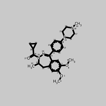 COc1cc2c(cc1OC)C(c1ccc(N3CCN(C)CC3)cc1)=NN(C(=O)C1CC1)C(C)C2